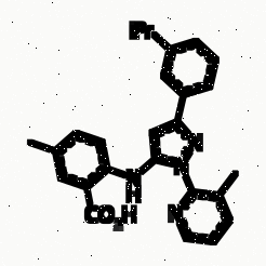 Cc1ccc(Nc2cc(-c3cccc(C(C)C)c3)nn2-c2ncccc2C)c(C(=O)O)c1